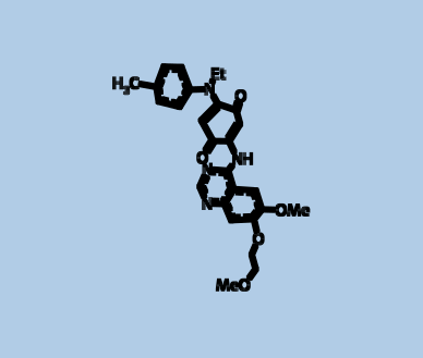 CCN(C1=CC(=O)C(Nc2ncnc3cc(OCCOC)c(OC)cc23)=CC1=O)c1ccc(C)cc1